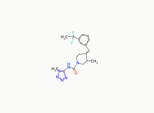 CC1CN(C(=O)Nc2nnnn2C)CCC1=Cc1cccc(C(C)(F)F)c1